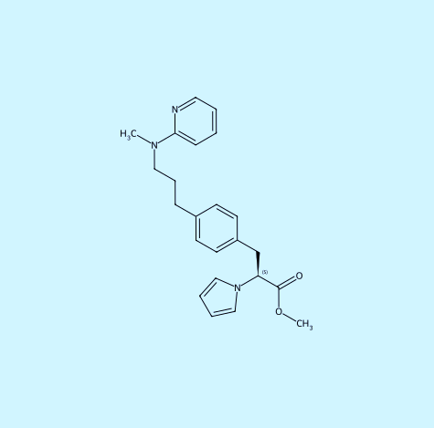 COC(=O)[C@H](Cc1ccc(CCCN(C)c2ccccn2)cc1)n1cccc1